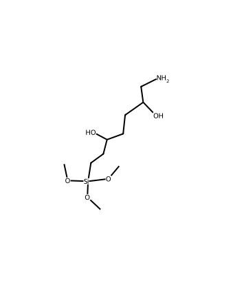 CO[Si](CCC(O)CCC(O)CN)(OC)OC